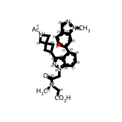 CC(=O)N1CC2(CC(c3nn(CC(=O)N(C)CC(=O)O)c4cccc(-c5cc6c(cnn6C)cc5F)c34)C2)C1